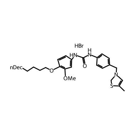 Br.CCCCCCCCCCCCCCOc1ccc(NC(=O)Nc2ccc(CN3C=C(C)SC3)cc2)cc1OC